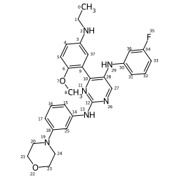 CCNc1ccc(OC)c(-c2nc(Nc3cccc(N4CCOCC4)c3)ncc2Nc2cccc(F)c2)c1